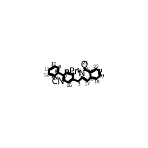 CCCn1c(Cc2ccc(-c3ccccc3C#N)cc2)cc2ccccc2c1=O